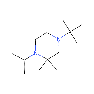 CC(C)N1CCN(C(C)(C)C)CC1(C)C